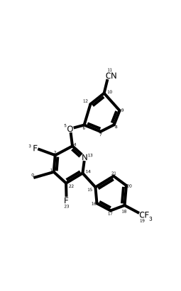 Cc1c(F)c(Oc2cccc(C#N)c2)nc(-c2ccc(C(F)(F)F)cc2)c1F